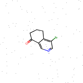 O=C1CCCc2c(Br)cncc21